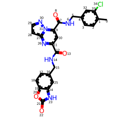 Cc1ccc(CNC(=O)c2cc(C(=O)NCc3ccc4oc(=O)[nH]c4c3)nc3ccnn23)cc1Cl